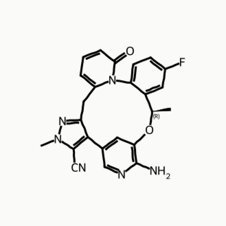 C[C@H]1Oc2cc(cnc2N)-c2c(nn(C)c2C#N)Cc2cccc(=O)n2-c2ccc(F)cc21